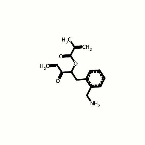 C=CC(=O)C(Cc1ccccc1CN)OC(=O)C(=C)C